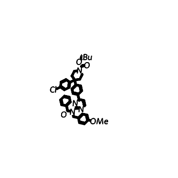 COc1ccc(CN(C(=O)c2ccccc2)c2nccc(-c3ccc(C4(c5ccc(Cl)cc5)CCN(C(=O)OC(C)(C)C)CC4)cc3)n2)cc1